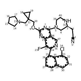 N#CC[C@H]1CN(c2nc(OCC3(CN4CCCC4)CC3)nc3c(F)c(-c4cccc5cccc(Cl)c45)ncc23)CCN1